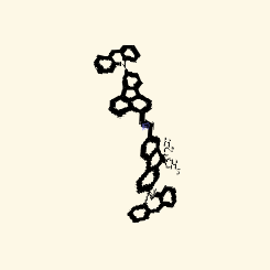 CC1(C)c2cc(/C=C/c3ccc4c5c(cccc35)-c3cc(N5c6ccccc6Cc6ccccc65)ccc3-4)ccc2-c2ccc(N3c4ccccc4Cc4ccccc43)cc21